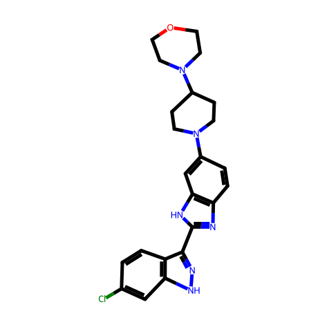 Clc1ccc2c(-c3nc4ccc(N5CCC(N6CCOCC6)CC5)cc4[nH]3)n[nH]c2c1